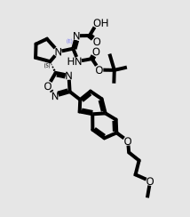 COCCCOc1ccc2cc(-c3noc([C@@H]4CCCN4/C(=N/C(=O)O)NC(=O)OC(C)(C)C)n3)ccc2c1